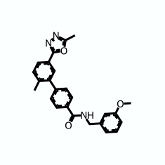 COc1cccc(CNC(=O)c2ccc(-c3cc(-c4nnc(C)o4)ccc3C)cc2)c1